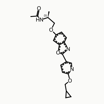 CC(=O)N[C@@H](C)COc1ccc2nc(-c3ccc(OCC4CC4)nc3)oc2c1